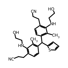 Cc1c(C(c2cccs2)c2ccc(CCC#N)c(NCCO)c2C)ccc(CCC#N)c1NCCO